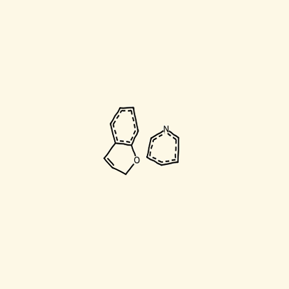 C1=Cc2ccccc2OC1.c1ccncc1